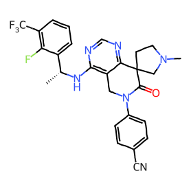 C[C@@H](Nc1ncnc2c1CN(c1ccc(C#N)cc1)C(=O)C21CCN(C)C1)c1cccc(C(F)(F)F)c1F